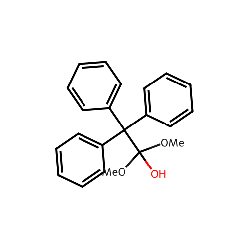 COC(O)(OC)C(c1ccccc1)(c1ccccc1)c1ccccc1